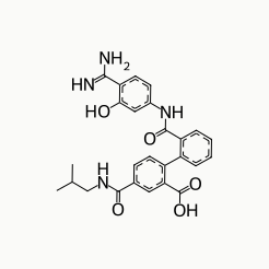 CC(C)CNC(=O)c1ccc(-c2ccccc2C(=O)Nc2ccc(C(=N)N)c(O)c2)c(C(=O)O)c1